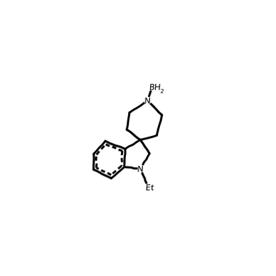 BN1CCC2(CC1)CN(CC)c1ccccc12